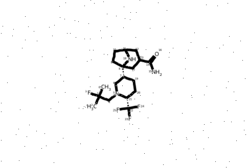 CC(C)(F)CN1C[C@H](C23CCC(CC(C(N)=O)C2)N3)CC[C@@H]1C(F)(F)F